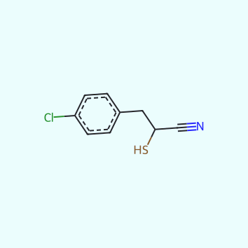 N#CC(S)Cc1ccc(Cl)cc1